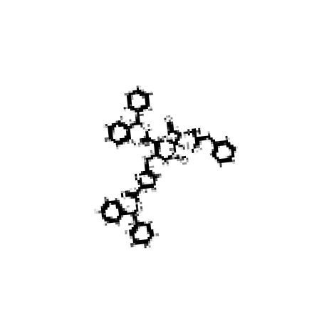 O=C(Cc1ccccc1)N[C@@H]1C(=O)N2C(C(=O)OC(c3ccccc3)c3ccccc3)=C(Cc3ccc(C(=O)OC(c4ccccc4)c4ccccc4)o3)C[S+]([O-])[C@@H]12